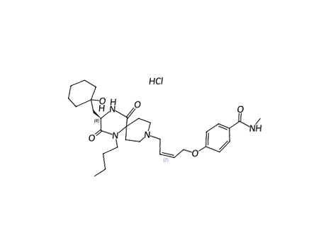 CCCCN1C(=O)[C@@H](CC2(O)CCCCC2)NC(=O)C12CCN(C/C=C\COc1ccc(C(=O)NC)cc1)CC2.Cl